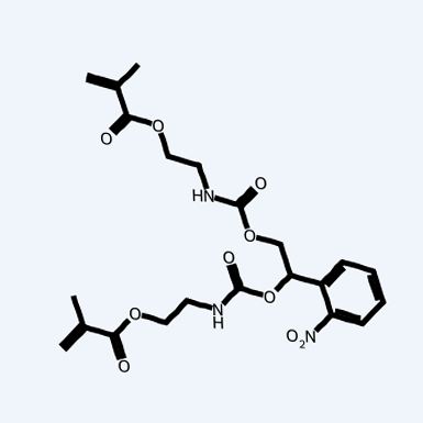 C=C(C)C(=O)OCCNC(=O)OCC(OC(=O)NCCOC(=O)C(=C)C)c1ccccc1[N+](=O)[O-]